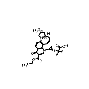 CCOC(=O)c1cn(C2CC2)c2c3c(ccc2c1=O)N1C[C@@H](N)C[C@H]1CC=C3.O=C(O)C(F)(F)F